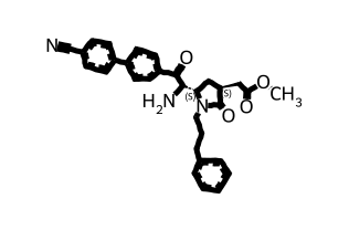 COC(=O)C[C@@H]1C[C@@H](C(N)C(=O)c2ccc(-c3ccc(C#N)cc3)cc2)N(CCCc2ccccc2)C1=O